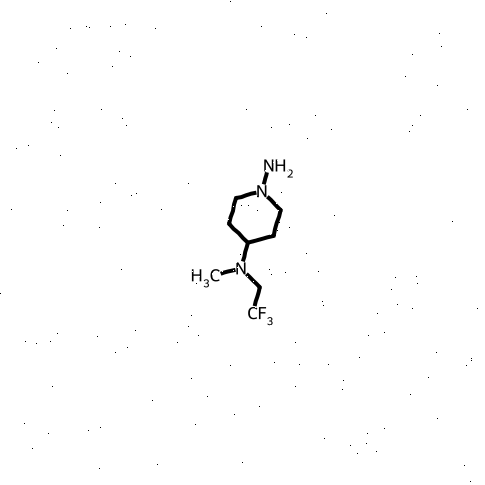 CN(CC(F)(F)F)C1CCN(N)CC1